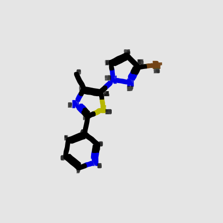 Cc1nc(-c2cccnc2)sc1-n1ccc(Br)n1